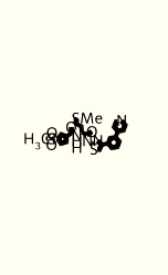 CSCCC(NC(=O)c1ccn(S(C)(=O)=O)c1)C(=O)Nc1nc(-c2cccc(-c3ccncc3)c2)cs1